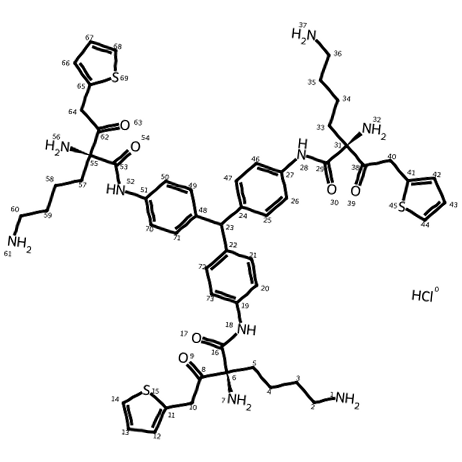 Cl.NCCCC[C@](N)(C(=O)Cc1cccs1)C(=O)Nc1ccc(C(c2ccc(NC(=O)[C@](N)(CCCCN)C(=O)Cc3cccs3)cc2)c2ccc(NC(=O)[C@](N)(CCCCN)C(=O)Cc3cccs3)cc2)cc1